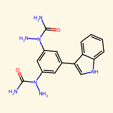 NC(=O)N(N)c1cc(-c2c[nH]c3ccccc23)cc(N(N)C(N)=O)c1